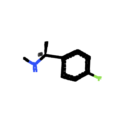 CN[C@@H](C)c1ccc(F)cc1